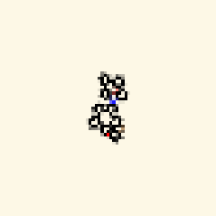 c1ccc(N(c2ccc3c(c2)c2ccccc2c2ccccc2c2ccccc2c2c3ccc3sc4ccccc4c32)c2cccc3c2Oc2ccccc2-c2ccccc2-3)cc1